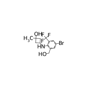 CC1(O)CC(Nc2c(CO)cc(Br)cc2C(F)(F)F)C1